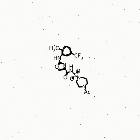 CC(=O)N1CCCN(S(=O)(=O)NC(=O)c2coc(Nc3cc(C(F)(F)F)ccc3C)n2)CC1